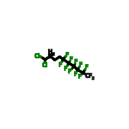 FC(F)(F)C(F)(F)C(F)(F)C(F)(F)C(F)(F)C(F)(F)CC[SiH2]C(Cl)Cl